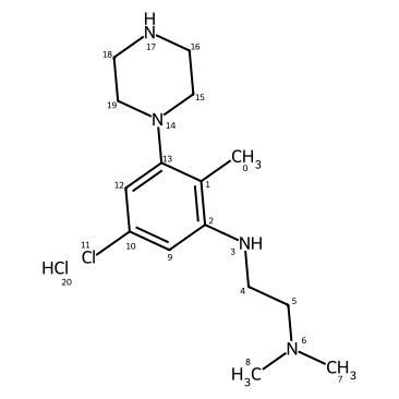 Cc1c(NCCN(C)C)cc(Cl)cc1N1CCNCC1.Cl